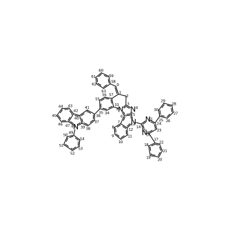 C(=C1\Cc2nc3c(c4ccccc4n3-c3nc(-c4ccccc4)cc(-c4ccccc4)n3)n2-c2cc(-c3ccc4c(c3)c3ccccc3n4-c3ccccc3)ccc21)/c1ccccc1